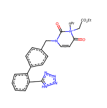 CCC[N+]1(CC(=O)OCC)C(=O)C=CN(Cc2ccc(-c3ccccc3-c3nnn[nH]3)cc2)C1=O